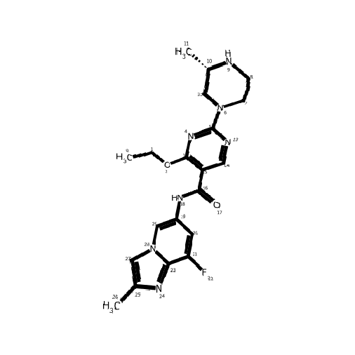 CCOc1nc(N2CCN[C@@H](C)C2)ncc1C(=O)Nc1cc(F)c2nc(C)cn2c1